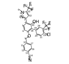 Cn1nc(-c2ccc(OCc3ccc(C#N)cc3)c(-c3ccc(Cl)c(C(F)(F)F)c3)c2O)cc1C(F)(F)F